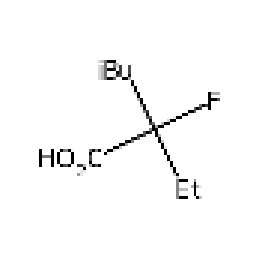 CCC(C)C(F)(CC)C(=O)O